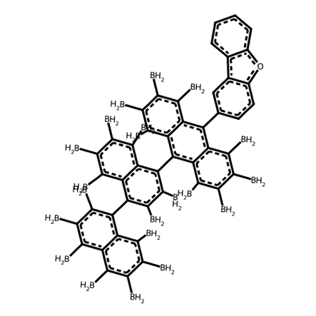 Bc1c(B)c(B)c2c(-c3c(B)c(B)c(-c4c5c(B)c(B)c(B)c(B)c5c(-c5ccc6oc7ccccc7c6c5)c5c(B)c(B)c(B)c(B)c45)c4c(B)c(B)c(B)c(B)c34)c(B)c(B)c(B)c2c1B